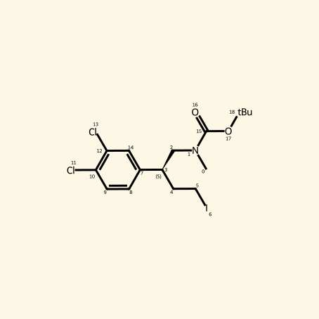 CN(C[C@@H](CCI)c1ccc(Cl)c(Cl)c1)C(=O)OC(C)(C)C